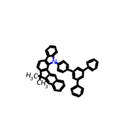 CC1(C)c2cc3ccccc3cc2-c2c1ccc1c3ccccc3n(-c3ccc(-c4cc(-c5ccccc5)cc(-c5ccccc5)c4)cc3)c21